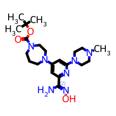 CN1CCN(c2cc(N3CCCN(C(=O)OC(C)(C)C)CC3)cc(/C(N)=N/O)n2)CC1